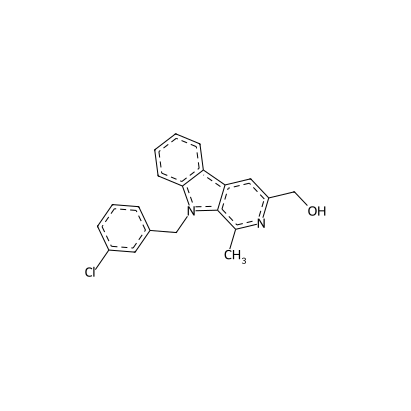 Cc1nc(CO)cc2c3ccccc3n(Cc3cccc(Cl)c3)c12